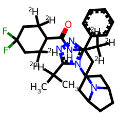 [2H]C([2H])([2H])c1nnc(C([2H])(C)C)n1C1CC2CCC(C1)N2CCC(NC(=O)C1C([2H])([2H])CC(F)(F)CC1([2H])[2H])c1ccccc1